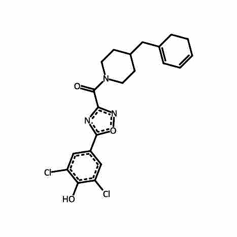 O=C(c1noc(-c2cc(Cl)c(O)c(Cl)c2)n1)N1CCC(CC2=CC=CCC2)CC1